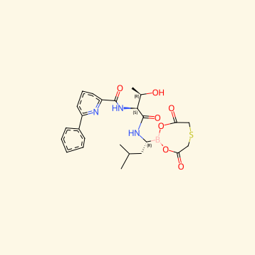 CC(C)C[C@H](NC(=O)[C@@H](NC(=O)c1cccc(-c2ccccc2)n1)[C@@H](C)O)B1OC(=O)CSCC(=O)O1